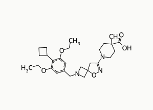 CCOc1cc(CN2CC3(CC(N4CCC(C)(C(=O)O)CC4)=NO3)C2)cc(OCC)c1C1CCC1